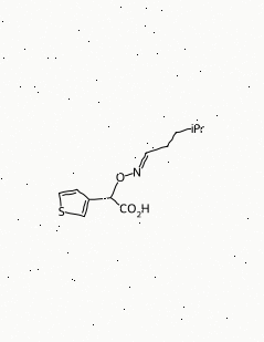 CC(C)CCC=NOC(C(=O)O)c1ccsc1